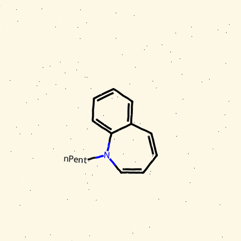 CCCCCN1C=CC=Cc2ccccc21